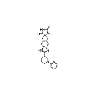 CN1C(=O)NC(=O)C12Cc1cc3nc(C4CCCN(c5ccccn5)C4)[nH]c3cc1C2